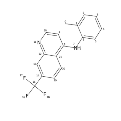 Cc1ccccc1Nc1ccnc2cc(C(F)(F)F)ccc12